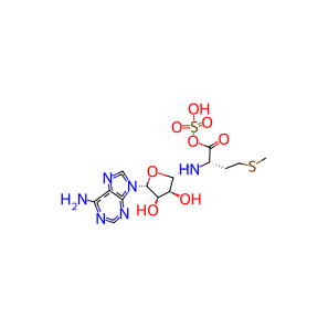 CSCC[C@H](NC[C@H]1O[C@@H](n2cnc3c(N)ncnc32)[C@H](O)[C@@H]1O)C(=O)OS(=O)(=O)O